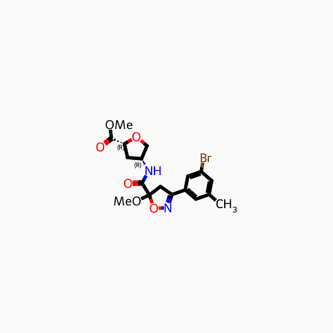 COC(=O)[C@H]1C[C@@H](NC(=O)C2(OC)CC(c3cc(C)cc(Br)c3)=NO2)CO1